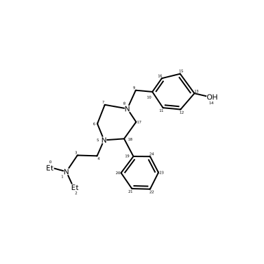 CCN(CC)CCN1CCN(Cc2ccc(O)cc2)CC1c1ccccc1